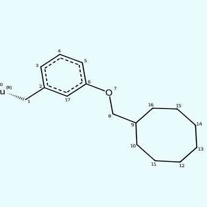 CC[C@@H](C)Cc1cccc(OCC2CCCCCCC2)c1